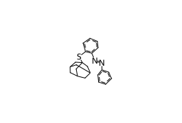 c1ccc(N=Nc2ccccc2SC23CC4CC(CC(C4)C2)C3)cc1